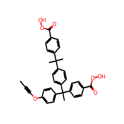 CC#COc1ccc(C(C)(c2ccc(C(=O)OO)cc2)c2ccc(C(C)(C)c3ccc(C(=O)OO)cc3)cc2)cc1